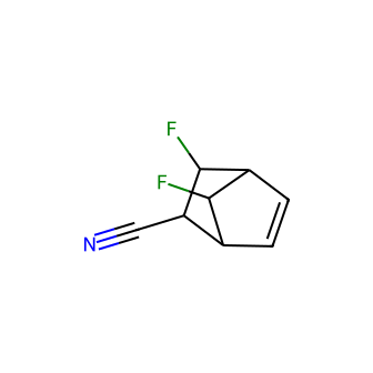 N#CC1C(F)C2C=CC1C2F